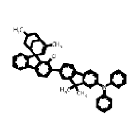 CC1=CC2(c3ccccc3-c3ccc(-c4ccc5c(c4)C(C)(C)c4cc(N(c6ccccc6)c6ccccc6)ccc4-5)c(Cl)c32)C2CC(C)CC1C2